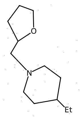 CCC1CCN(CC2CCCO2)CC1